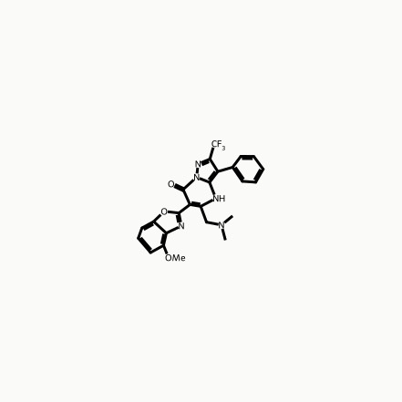 COc1cccc2oc(-c3c(CN(C)C)[nH]c4c(-c5ccccc5)c(C(F)(F)F)nn4c3=O)nc12